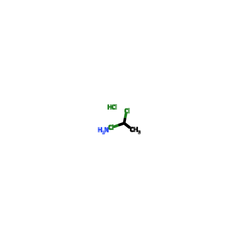 CC(Cl)Cl.Cl.N